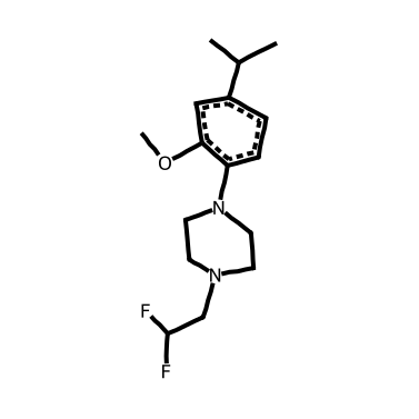 COc1cc(C(C)C)ccc1N1CCN(CC(F)F)CC1